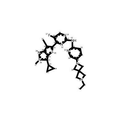 CCN1CC2(C1)CN(c1ccc(Nc3ncc(F)c(-c4sc5c(C6CC6)n(C)nc5c4C)n3)nc1)C2